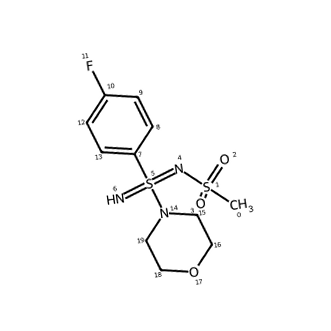 CS(=O)(=O)N=S(=N)(c1ccc(F)cc1)N1CCOCC1